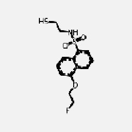 O=S(=O)(NCCS)c1cccc2c(OCCF)cccc12